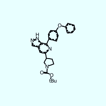 CC(C)(C)OC(=O)N1CCC(c2cc3cn[nH]c3c(-c3ccc(Oc4ccccc4)cc3)n2)C1